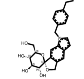 CCc1ccc(Cn2ccc3cc4c(cc32)[C@]2(OC4)O[C@H](CO)[C@@H](O)[C@H](O)[C@H]2O)cc1